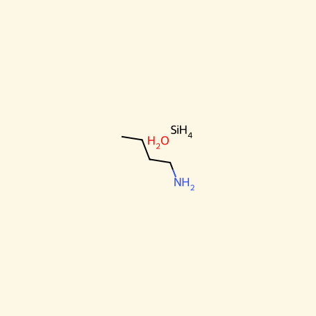 CCCCN.O.[SiH4]